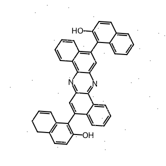 Oc1ccc2c(c1-c1cc3nc4c(cc(-c5c(O)ccc6ccccc56)c5ccccc54)nc3c3ccccc13)C=CCC2